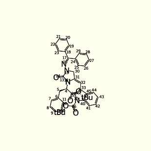 CC(C)(C)OC(=O)[C@@H](Cc1ccccc1)N1C(=O)N(N=C(c2ccccc2)c2ccccc2)C/C1=C/c1cn(C(=O)OC(C)(C)C)c2ccccc12